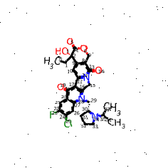 CC[C@@]1(O)C(=O)OCc2c1cc1n(c2=O)Cc2c-1c(=O)c1cc(F)c(Cl)cc1n2C[C@H]1CCCN1C(C)C